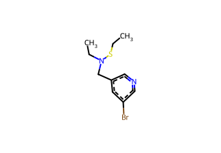 CCSN(CC)Cc1cncc(Br)c1